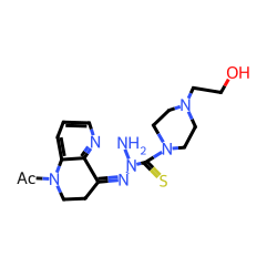 CC(=O)N1CC/C(=N/N(N)C(=S)N2CCN(CCO)CC2)c2ncccc21